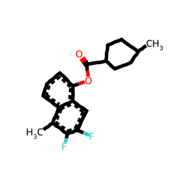 Cc1c(F)c(F)cc2c(OC(=O)C3CCC(C)CC3)cccc12